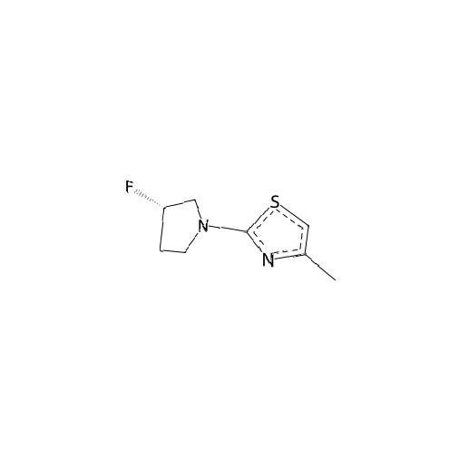 Cc1csc(N2CC[C@H](F)C2)n1